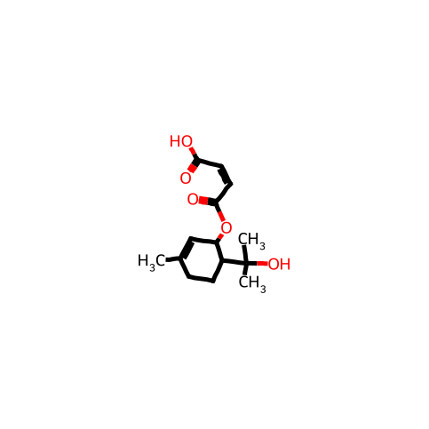 CC1=CC(OC(=O)/C=C\C(=O)O)C(C(C)(C)O)CC1